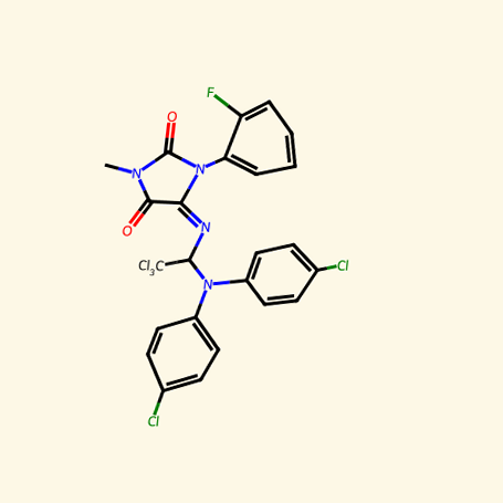 CN1C(=O)C(=NC(N(c2ccc(Cl)cc2)c2ccc(Cl)cc2)C(Cl)(Cl)Cl)N(c2ccccc2F)C1=O